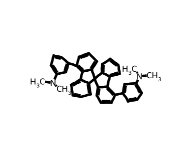 CN(C)c1cccc(-c2cccc3c2-c2ccccc2C32c3ccccc3-c3c(-c4cccc(N(C)C)c4)cccc32)c1